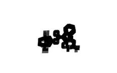 CN1[C@@H]2CC[C@H]1C[C@@H](OC(=O)c1c(Cl)n(CC(F)F)c3ccccc13)C2